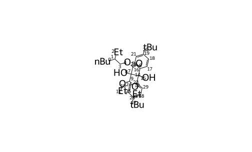 CCCCC(CC)COC(=O)C(O)(C(OCC)OCC)C(O)(c1ccc(C(C)(C)C)cc1)c1ccc(C(C)(C)C)cc1